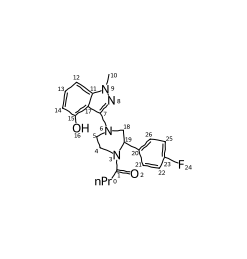 CCCC(=O)N1CCN(c2nn(C)c3cccc(O)c23)CC1c1ccc(F)cc1